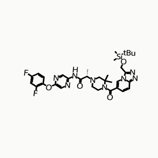 C[C@@H](C(=O)Nc1cnc(Oc2ccc(F)cc2F)cn1)N1CCN(C(=O)c2ccc3nnc(CO[Si](C)(C)C(C)(C)C)n3c2)C(C)(C)C1